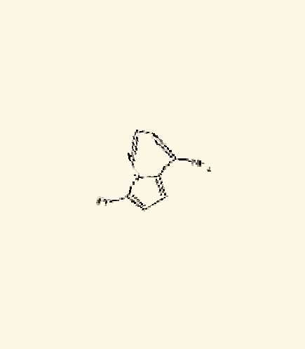 CC(C)c1ccc2c(N)ccnn12